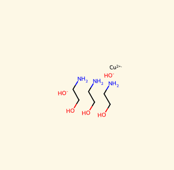 NCCO.NCCO.NCCO.[Cu+2].[OH-].[OH-]